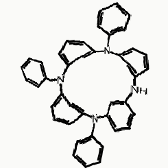 c1ccc(N2c3cccc(c3)Nc3cccc(c3)N(c3ccccc3)c3cccc(c3)N(c3ccccc3)c3cccc2c3)cc1